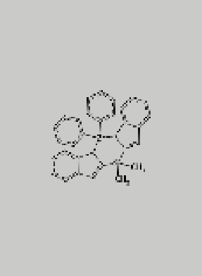 C[Si]1(C)C2=Cc3ccccc3[CH]2[Zr]([c]2ccccc2)([c]2ccccc2)[CH]2C1=Cc1ccccc12